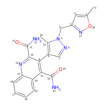 Cc1cc(Cn2ncc(-c3c(C(N)=O)nc4ccccc4c3C(N)=O)c2C)no1